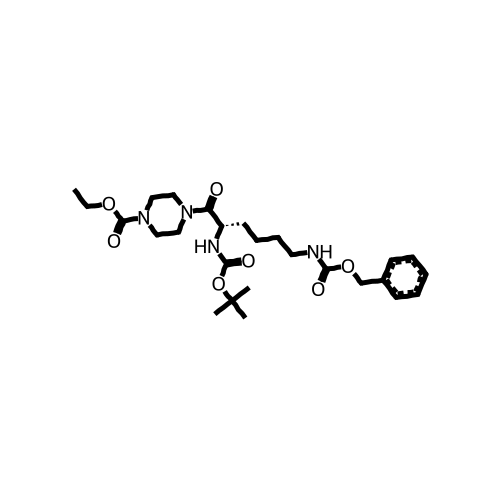 CCOC(=O)N1CCN(C(=O)[C@H](CCCCNC(=O)OCc2ccccc2)NC(=O)OC(C)(C)C)CC1